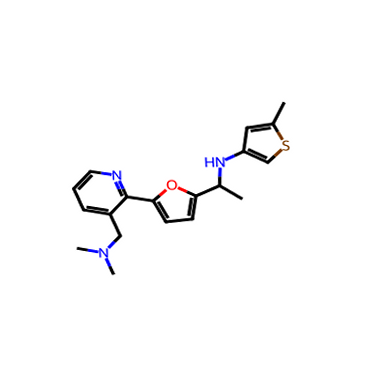 Cc1cc(NC(C)c2ccc(-c3ncccc3CN(C)C)o2)cs1